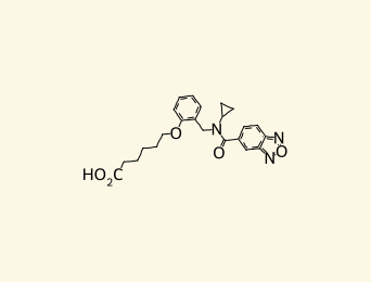 O=C(O)CCCCCOc1ccccc1CN(C(=O)c1ccc2nonc2c1)C1CC1